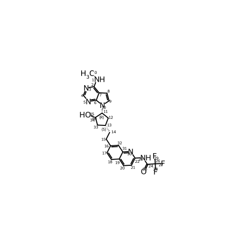 CNc1ncnc2c1ccn2[C@@H]1C[C@H](CCc2ccc3ccc(NC(=O)C(F)(F)F)nc3c2)C[C@H]1O